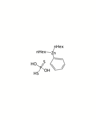 CCCCC[CH2][Zn]([CH2]CCCCC)[c]1ccccc1.OP(O)(=S)S